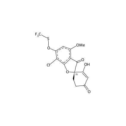 COc1cc(OSC(F)(F)F)c(Cl)c2c1C(=O)[C@@]1(CCC(=O)C=C1O)O2